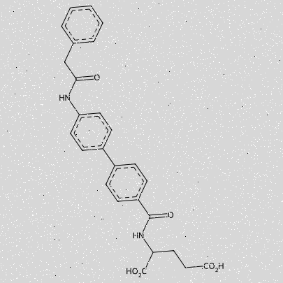 O=C(O)CCC(NC(=O)c1ccc(-c2ccc(NC(=O)Cc3ccccc3)cc2)cc1)C(=O)O